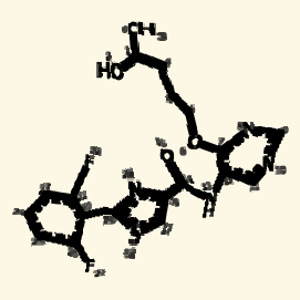 CC(O)CCCOc1ncncc1NC(=O)c1csc(-c2c(F)cccc2F)n1